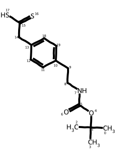 CC(C)(C)OC(=O)NCCc1ccc(CC(=S)S)cc1